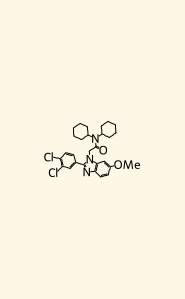 COc1ccc2nc(-c3ccc(Cl)c(Cl)c3)n(CC(=O)N(C3CCCCC3)C3CCCCC3)c2c1